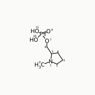 CN1CCCC1COP(=O)(O)O